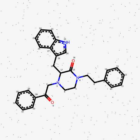 O=C(CN1CCN(CCc2ccccc2)C(=O)C1Cc1c[nH]c2ccccc12)c1ccccc1